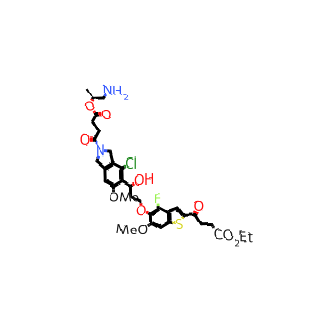 CCOC(=O)CCC(=O)c1cc2c(F)c(OCCC(O)c3c(OC)cc4c(c3Cl)CN(C(=O)CCC(=O)O[C@@H](C)CN)C4)c(OC)cc2s1